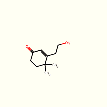 CC1(C)CCC(=O)C=C1CCO